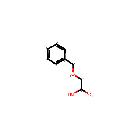 [O]C(O)COCc1ccccc1